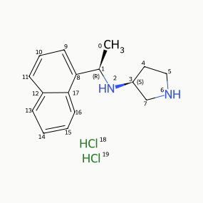 C[C@@H](N[C@H]1CCNC1)c1cccc2ccccc12.Cl.Cl